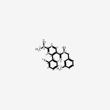 CCN(Cc1cccc(C)c1)C(=O)c1cnc(N(C)CC)nc1-c1ccccc1F